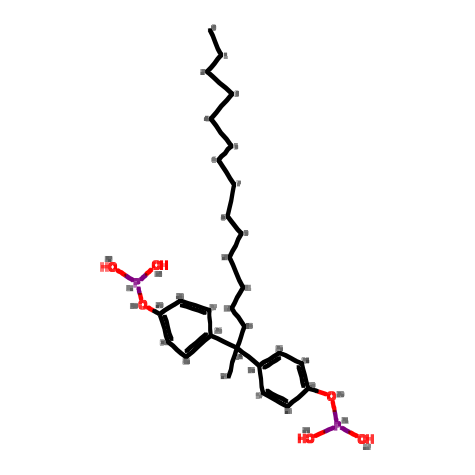 CCCCCCCCCCCCCCC(C)(c1ccc(OP(O)O)cc1)c1ccc(OP(O)O)cc1